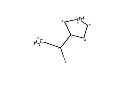 CC(I)C1CCNC1